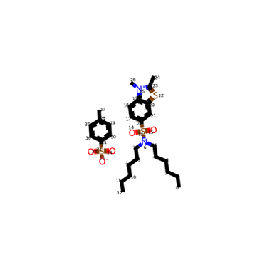 CCCCCCN(CCCCCC)S(=O)(=O)c1ccc2c(c1)sc(C)[n+]2C.Cc1ccc(S(=O)(=O)[O-])cc1